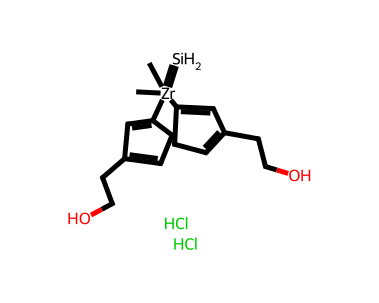 Cl.Cl.[CH3][Zr]([CH3])(=[SiH2])([C]1=CC(CCO)=CC1)[C]1=CC(CCO)=CC1